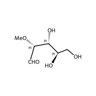 CO[C@@H](C=O)[C@H](O)[C@H](O)CO